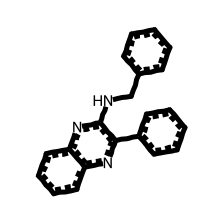 c1ccc(CNc2nc3ccccc3nc2-c2ccccc2)cc1